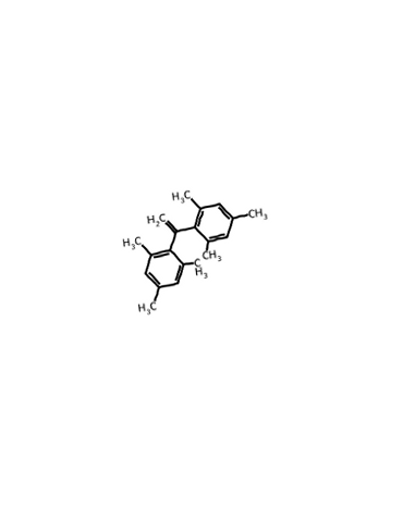 C=C(c1c(C)cc(C)cc1C)c1c(C)cc(C)cc1C